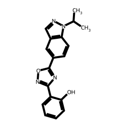 CC(C)n1ncc2cc(-c3nc(-c4ccccc4O)no3)ccc21